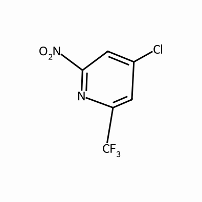 O=[N+]([O-])c1cc(Cl)cc(C(F)(F)F)n1